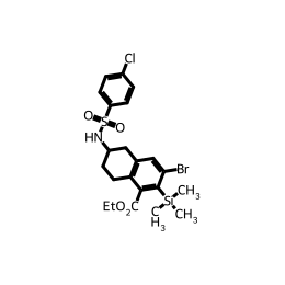 CCOC(=O)c1c2c(cc(Br)c1[Si](C)(C)C)CC(NS(=O)(=O)c1ccc(Cl)cc1)CC2